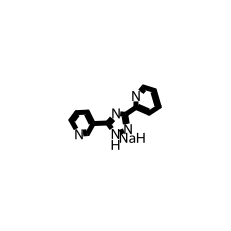 [NaH].c1ccc(-c2n[nH]c(-c3cccnc3)n2)nc1